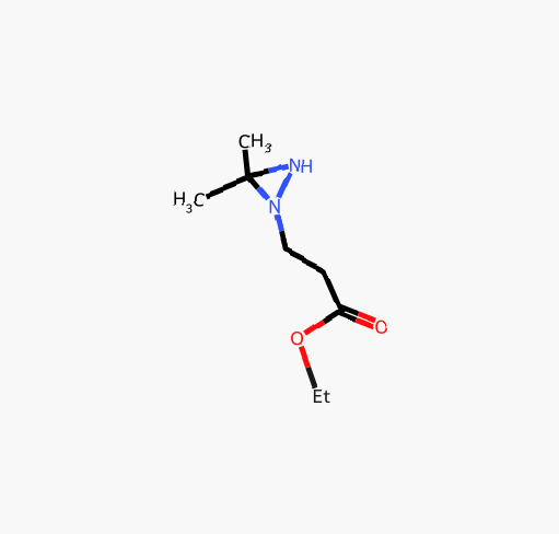 CCOC(=O)CCN1NC1(C)C